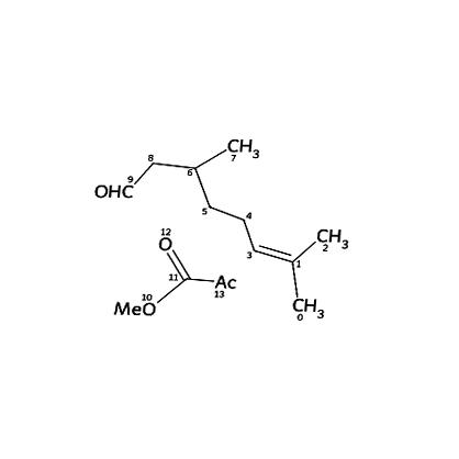 CC(C)=CCCC(C)CC=O.COC(=O)C(C)=O